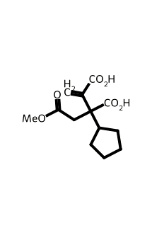 C=C(C(=O)O)C(CC(=O)OC)(C(=O)O)C1CCCC1